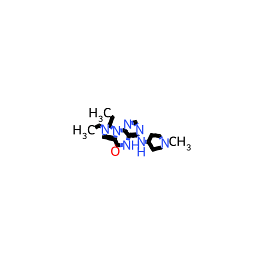 CCC1N(CC)C=C2C(=O)Nc3c(NC4CCN(C)CC4)ncnc3N21